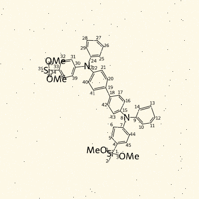 CO[Si](C)(OC)c1ccc(N(c2ccccc2)c2ccc(-c3ccc(N(c4ccccc4)c4ccc([Si](C)(OC)OC)cc4)cc3)cc2)cc1